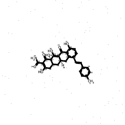 Cc1ccc(/C=C/c2ccc(O)c3c2C[C@H]2CC4CC(O)=C(C(N)=O)C(=O)[C@@]4(O)C(O)=C2C3=O)cc1